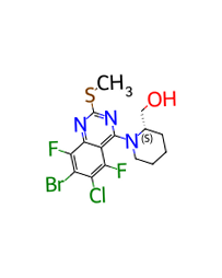 CSc1nc(N2CCCC[C@H]2CO)c2c(F)c(Cl)c(Br)c(F)c2n1